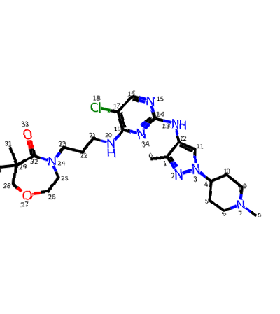 Cc1nn(C2CCN(C)CC2)cc1Nc1ncc(Cl)c(NCCCN2CCOCC(C)(C)C2=O)n1